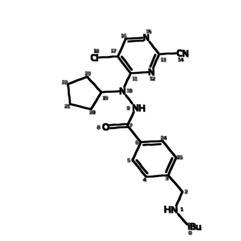 CCC(C)NCc1ccc(C(=O)NN(c2nc(C#N)ncc2Cl)C2CCCC2)cc1